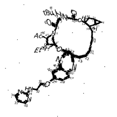 CC[C@@H]1[C@@H]2CN(C(=O)[C@H](C(C)(C)C)NC(=O)O[C@@H]3CC4CC4[C@H]3CCCCCc3nc4ccc(OCCNc5ncccn5)cc4nc3O2)[C@@H]1C(C)=O